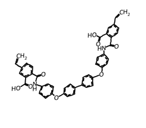 C=Cc1ccc(C(=O)Nc2ccc(Oc3ccc(-c4ccc(Oc5ccc(NC(=O)c6ccc(C=C)cc6C(=O)O)cc5)cc4)cc3)cc2)c(C(=O)O)c1